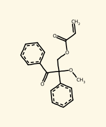 C=CC(=O)OCC(OC)(C(=O)c1ccccc1)c1ccccc1